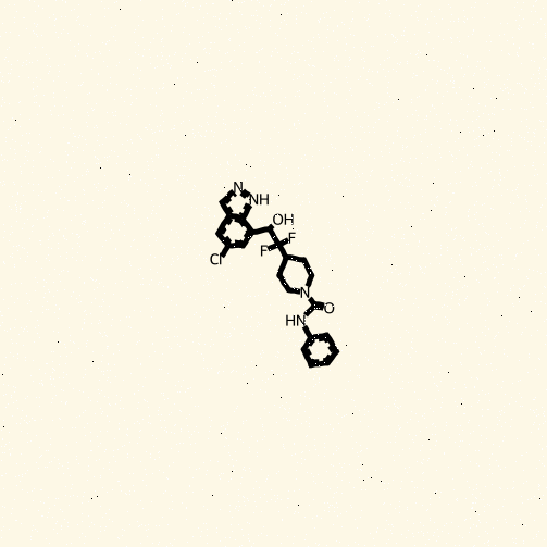 O=C(Nc1ccccc1)N1CCC(C(F)(F)C(O)c2cc(Cl)cc3cn[nH]c23)CC1